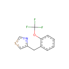 FC(F)(F)Oc1ccccc1Cc1cscn1